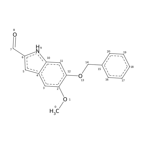 COc1cc2cc(C=O)[nH]c2cc1OCc1ccccc1